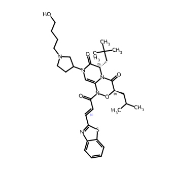 CC(C)C[C@H]1ON(C(=O)/C=C/c2nc3ccccc3s2)C2=CN(C3CCN(CCCCO)C3)C(=O)[C@H](CC(C)(C)C)N2C1=O